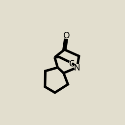 O=C1CN2CCC1C1CCCCC12